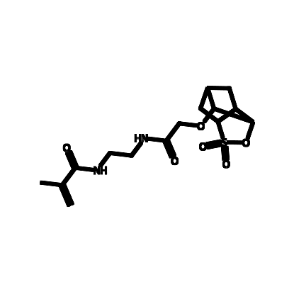 C=C(C)C(=O)NCCNC(=O)COC1C2CC3C1OS(=O)(=O)C3C2